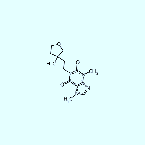 Cn1cnc2c1c(=O)n(CCC1(C)CCOC1)c(=O)n2C